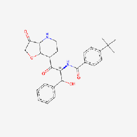 CC(C)(C)c1ccc(C(=O)N[C@H](C(=O)C2CCNC3C(=O)COC23)C(O)c2ccccc2)cc1